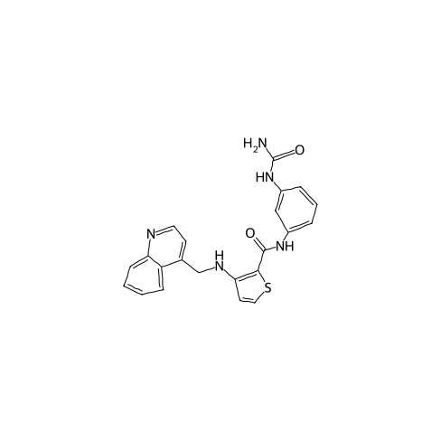 NC(=O)Nc1cccc(NC(=O)c2sccc2NCc2ccnc3ccccc23)c1